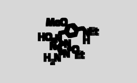 CCNCc1ccc(Cn2c(O)nc3c(N)nc(OCC)nc32)c(OC)c1